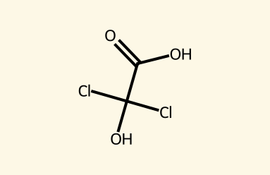 O=C(O)C(O)(Cl)Cl